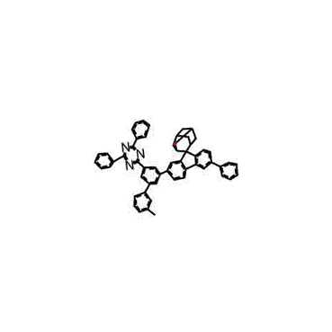 Cc1cccc(-c2cc(-c3ccc4c(c3)C3(c5ccc(-c6ccccc6)cc5-4)C4CC5CC(C4)CC3C5)cc(-c3nc(-c4ccccc4)nc(-c4ccccc4)n3)c2)c1